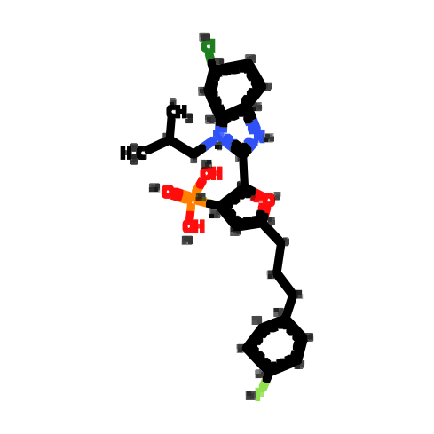 CC(C)Cn1c(-c2oc(CCCc3ccc(F)cc3)cc2P(=O)(O)O)nc2ccc(Cl)cc21